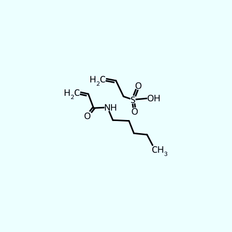 C=CC(=O)NCCCCC.C=CCS(=O)(=O)O